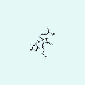 O=C(O)C1=CS[C@@H]2/C(=C(/CCO)c3c[nH]nn3)C(=O)N12